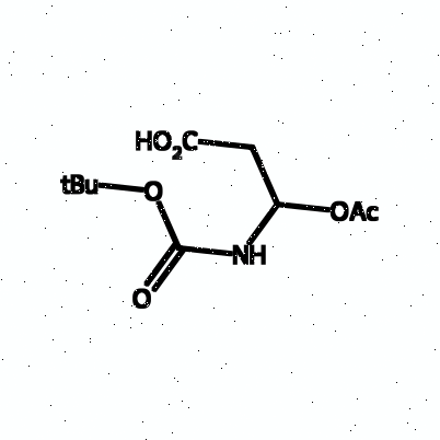 CC(=O)OC(CC(=O)O)NC(=O)OC(C)(C)C